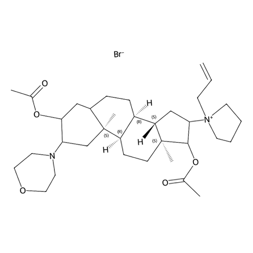 C=CC[N+]1(C2C[C@H]3[C@@H]4CCC5CC(OC(C)=O)C(N6CCOCC6)C[C@]5(C)[C@@H]4CC[C@]3(C)C2OC(C)=O)CCCC1.[Br-]